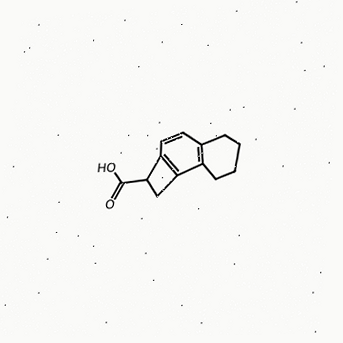 O=C(O)C1Cc2c1ccc1c2CCCC1